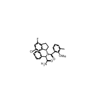 COc1c(C)cccc1C(=O)N([C@@H]1CCc2c(F)cc(Cl)cc21)[C@@H](C(N)=O)c1ccccc1